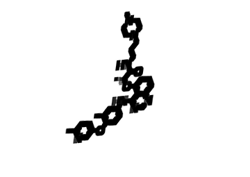 Cc1ccc(Oc2ccc(Nc3ncnc4cccc(O[C@H](C)C(=O)NCCCN5CCN(C)CC5)c34)cc2C)cn1